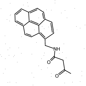 CC(=O)CC(=O)NCc1ccc2ccc3cccc4ccc1c2c34